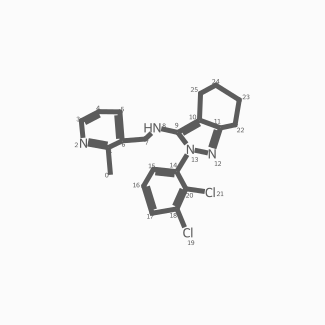 Cc1ncccc1CNc1c2c(nn1-c1cccc(Cl)c1Cl)CCCC2